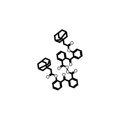 O=C(CC12CC3CC(CC(C3)C1)C2)Oc1ccccc1C(=O)c1ccccc1C(=O)OOC(=O)c1ccccc1C(=O)c1ccccc1OC(=O)CC12CC3CC(CC(C3)C1)C2